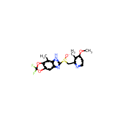 COc1ccnc(C[S+]([O-])c2nc3cc4c(c(C)c3[nH]2)OC(F)(F)O4)c1C